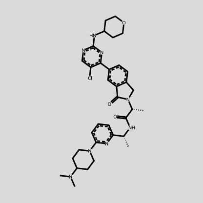 C[C@H](C(=O)N[C@H](C)c1cccc(N2CCC(N(C)C)CC2)n1)N1Cc2ccc(-c3nc(NC4CCOCC4)ncc3Cl)cc2C1=O